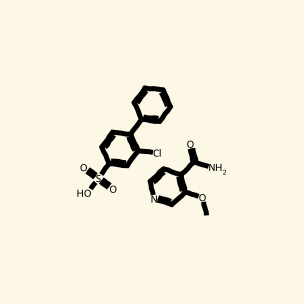 COc1cnccc1C(N)=O.O=S(=O)(O)c1ccc(-c2ccccc2)c(Cl)c1